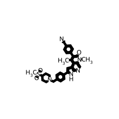 Cc1c(-c2ccc(C#N)cc2)c(=O)n(C)c2cnc3[nH]c(-c4ccc(CN5CCC(S(C)(=O)=O)CC5)cc4)cc3c12